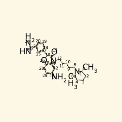 C[C@@H]1CCC[C@H](C)N1CCCCCN1C(=O)C(c2cccc(C(=N)N)c2)Oc2ccc(N)cc21